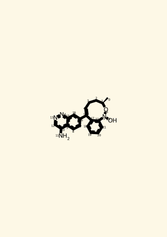 C[C@@H]1CCC=C(c2ccc3c(N)cnnc3c2)c2ccccc2N(O)O1